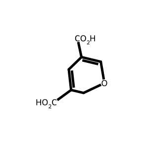 O=C(O)C1=COCC(C(=O)O)=C1